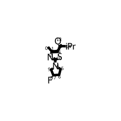 Cc1nc(N2CC[C@H](F)C2)sc1C(=O)C(C)C